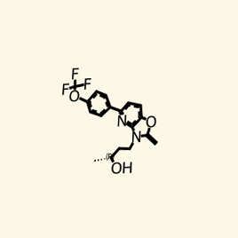 C=C1Oc2ccc(-c3ccc(OC(F)(F)F)cc3)nc2N1CC[C@@H](C)O